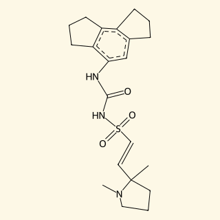 CN1CCCC1(C)/C=C/S(=O)(=O)NC(=O)Nc1cc2c(c3c1CCC3)CCC2